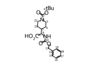 CC(C)(C)OC(=O)N1CCC([C@@H](NC(=O)OCc2ccccc2)C(=O)O)CC1